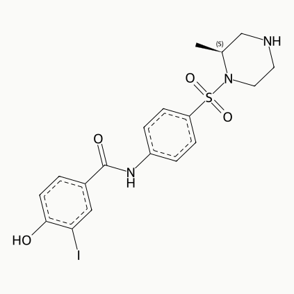 C[C@H]1CNCCN1S(=O)(=O)c1ccc(NC(=O)c2ccc(O)c(I)c2)cc1